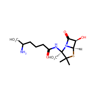 CC1(C)S[C@@H]2[C@H](O)C(=O)N2[C@@]1(NC(=O)CCCC(N)C(=O)O)C(=O)O